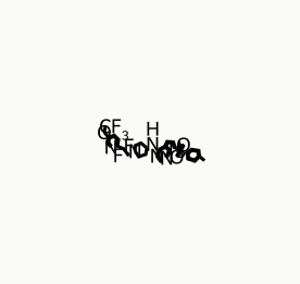 Cc1ccc(S(=O)(=O)n2ccc3c(NC4CCN(CC(F)(F)c5ccc(OC(F)(F)F)cn5)CC4)ncnc32)cc1